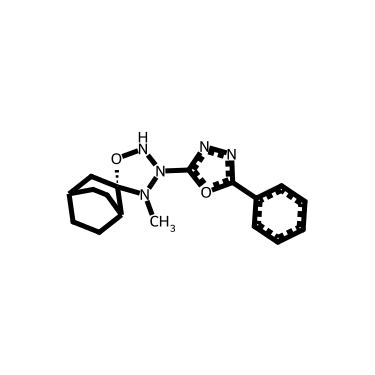 CN1N(c2nnc(-c3ccccc3)o2)NO[C@]12CC1CCC2CC1